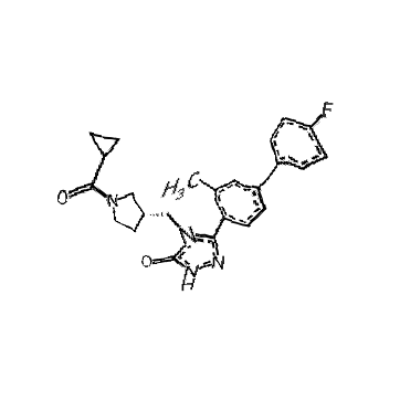 Cc1cc(-c2ccc(F)cc2)ccc1-c1n[nH]c(=O)n1C[C@@H]1CCN(C(=O)C2CC2)C1